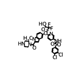 Cn1c(C(=O)N2CCNCC2)cc2cc(Oc3ccc(NS(=O)(=O)c4ccc(Cl)c(Cl)c4)cn3)ccc21.O=C(O)C(F)(F)F